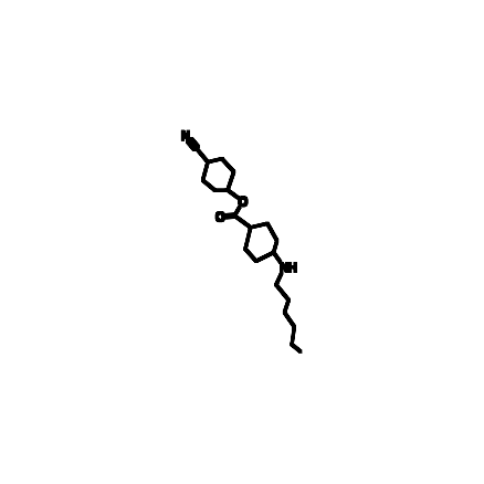 CCCCCCNC1CCC(C(=O)OC2CCC(C#N)CC2)CC1